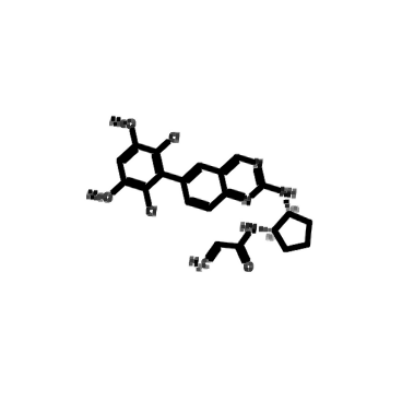 C=CC(=O)N[C@H]1CCC[C@H]1Nc1ncc2cc(-c3c(Cl)c(OC)cc(OC)c3Cl)ccc2n1